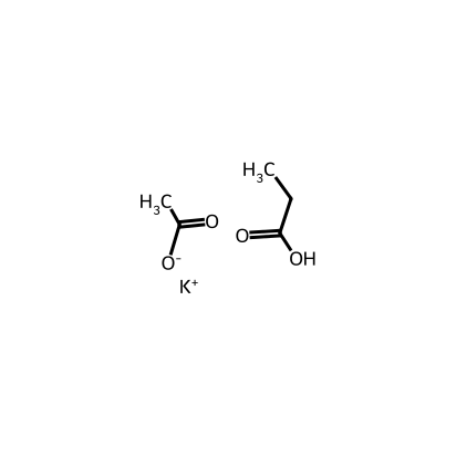 CC(=O)[O-].CCC(=O)O.[K+]